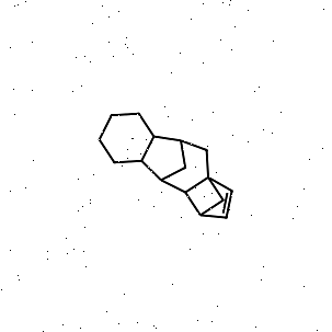 C1=CC23CC1C2C1CC(C3)C2CCCCC21